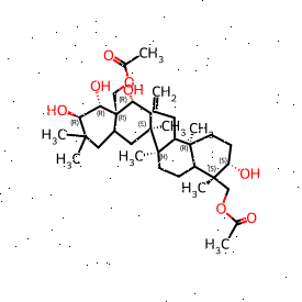 C=CCC1[C@@]2(C)CC[C@H](O)[C@](C)(COC(C)=O)C2CC[C@@]1(C)[C@@]1(C)CC2CC(C)(C)[C@@H](O)[C@H](O)[C@]2(COC(C)=O)[C@H](O)C1